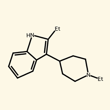 CCc1[nH]c2ccccc2c1C1CCN(CC)CC1